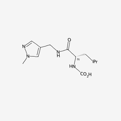 CC(C)C[C@H](NC(=O)O)C(=O)NCc1cnn(C)c1